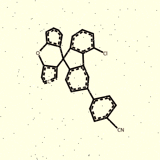 N#Cc1ccc(-c2ccc3c(c2)-c2c(Cl)cccc2C32c3ccccc3Oc3ccccc32)cc1